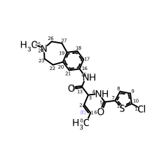 C/C=C/C(NC(=O)c1ccc(Cl)s1)C(=O)Nc1ccc2c(c1)CCN(C)CC2